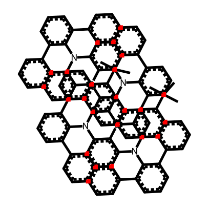 CC(C)(C)c1ccc2c(c1)B1c3cc(C(C)(C)Cc4cccc(-c5cccc(-c6ccccc6)c5N5c6ccccc6B6c7ccccc7N(c7c(-c8ccccc8)cccc7-c7ccccc7)c7cccc5c76)c4)ccc3N(c3c(-c4ccccc4)cccc3-c3ccccc3)c3cccc(c31)N2c1c(-c2ccccc2)cccc1-c1ccccc1